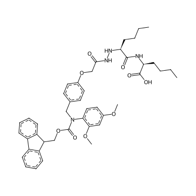 CCCC[C@H](NC(=O)[C@H](CCCC)NNC(=O)COc1ccc(CN(C(=O)OCC2c3ccccc3-c3ccccc32)c2ccc(OC)cc2OC)cc1)C(=O)O